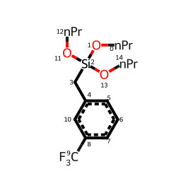 CCCO[Si](Cc1cccc(C(F)(F)F)c1)(OCCC)OCCC